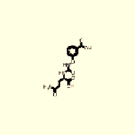 O=C(P)CCC(NC(=O)NOc1cccc(C(=O)O)c1)C(=O)O